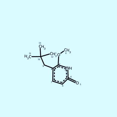 COc1[nH]c(=O)ccc1CC(C)(C)C